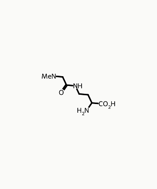 CNCC(=O)NCCC(N)C(=O)O